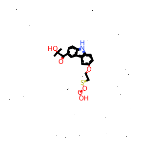 CC(C)(O)C(=O)c1ccc2[nH]c3ccc(OCCSOOO)cc3c2c1